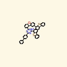 C1=CC2Oc3ccc(-c4cccc5c4sc4ccccc45)cc3C2C(C2N=C(c3ccc(-c4ccccc4)cc3)N=C(c3cccc4c3sc3ccccc34)N2)=C1